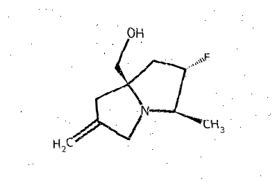 C=C1CN2[C@H](C)[C@@H](F)C[C@@]2(CO)C1